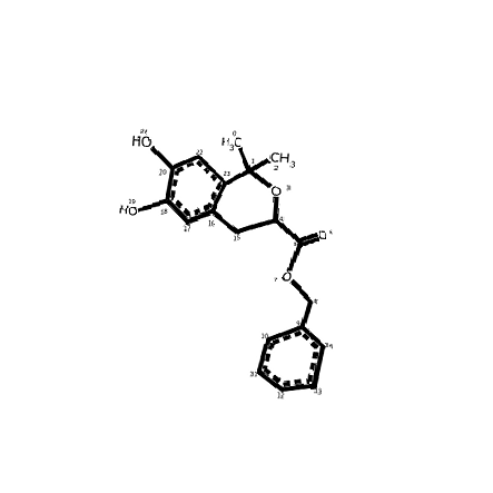 CC1(C)OC(C(=O)OCc2ccccc2)Cc2cc(O)c(O)cc21